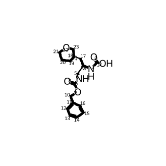 O=C(O)N[C@@H](CNC(=O)OCc1ccccc1)C[C@H]1CCCOC1